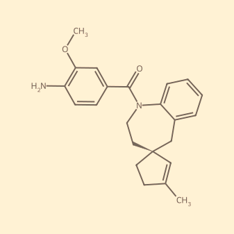 COc1cc(C(=O)N2CC[C@]3(C=C(C)CC3)Cc3ccccc32)ccc1N